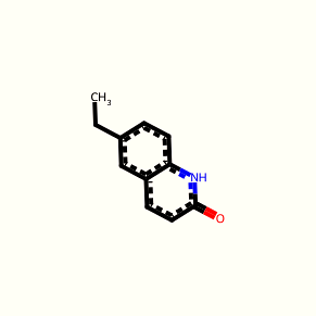 CCc1ccc2[nH]c(=O)ccc2c1